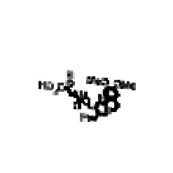 COc1cc2c(cc1OC)[C@H]1C[C@@H](COC(=O)NCC(O)C(=O)O)[C@H](CC(C)C)CN1CC2